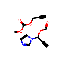 C#CC(OC=O)n1ccnc1.C#CCOC(=O)OC